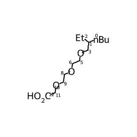 CCCCC(CC)COCCOCCOCC(=O)O